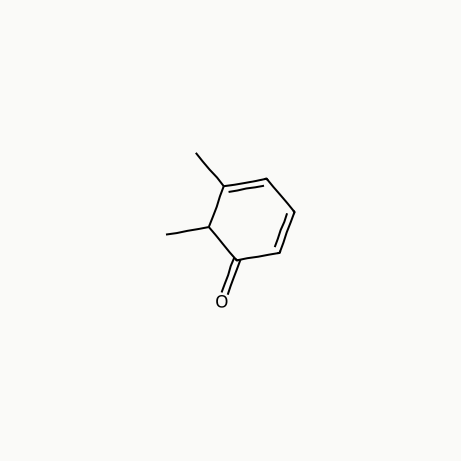 CC1=CC=CC(=O)C1C